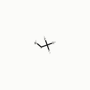 [O]C(F)(F)CBr